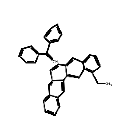 C=C(c1ccccc1)c1ccccc1.CCc1cccc2cc3ccc4cc5ccccc5cc4c3cc12